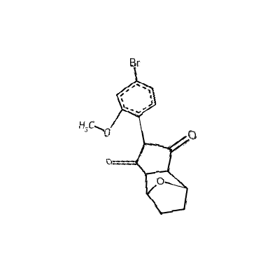 COc1cc(Br)ccc1C1C(=O)C2C3CCC(O3)C2C1=O